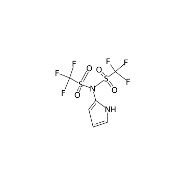 O=S(=O)(N(c1ccc[nH]1)S(=O)(=O)C(F)(F)F)C(F)(F)F